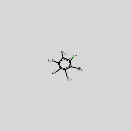 Bc1c(B)c(C(C)C)c(B)c(B)c1F